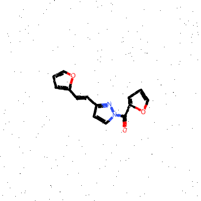 O=C(c1ccco1)n1ccc(/C=C/c2ccco2)n1